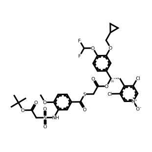 COc1ccc(C(=O)SCC(=O)O[C@@H](Cc2c(Cl)c[n+]([O-])cc2Cl)c2ccc(OC(F)F)c(OCC3CC3)c2)cc1NS(=O)(=O)CC(=O)OC(C)(C)C